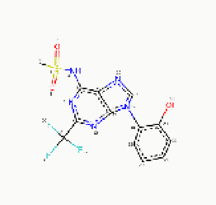 CS(=O)(=O)Nc1nc(C(F)(F)F)nc2c1ncn2-c1ccccc1O